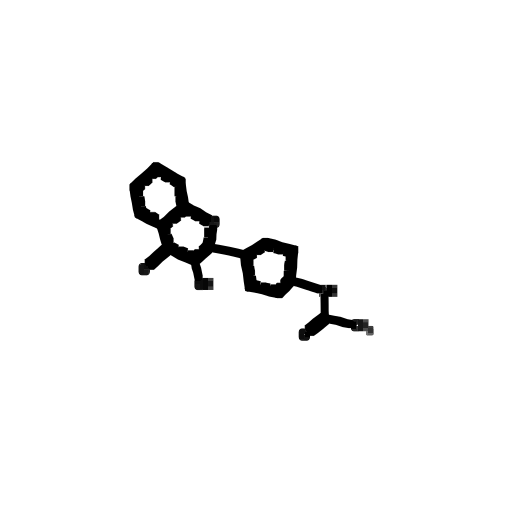 CC(=O)Nc1ccc(-c2oc3ccccc3c(=O)c2O)cc1